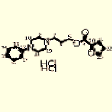 Cl.Cl.O=C(OCCCN1CCN(c2ccccc2)CC1)c1ccco1